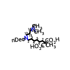 CCCCCCCCCCN(CCCCCCC(C)(C(=O)O)C(=O)O)CCCN(C)C